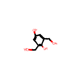 OCc1cc(O)cc(CO)c1O